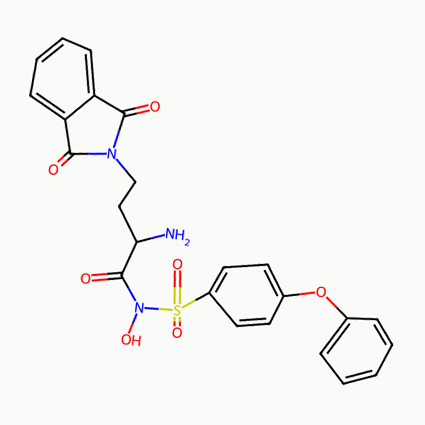 NC(CCN1C(=O)c2ccccc2C1=O)C(=O)N(O)S(=O)(=O)c1ccc(Oc2ccccc2)cc1